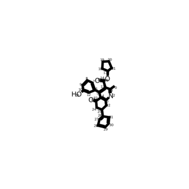 Cc1nc2c(c(-c3cccc(O)c3)c1C(=O)OC1CCCC1)C(=O)CC(c1ccccc1)C2